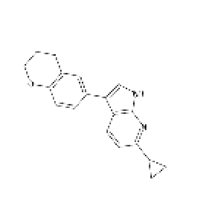 c1cc2c(cc1-c1c[nH]c3nc(C4CC4)ccc13)CCCO2